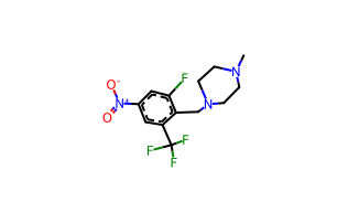 CN1CCN(Cc2c(F)cc([N+](=O)[O-])cc2C(F)(F)F)CC1